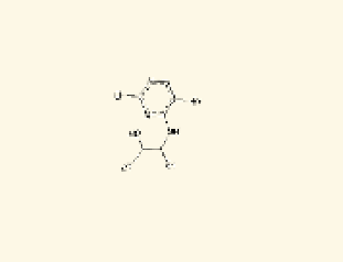 CCC(O)C(CC)Nc1nc(Cl)ncc1Br